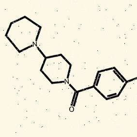 O=C(c1ccc(I)cc1)N1CCC(N2CCCCC2)CC1